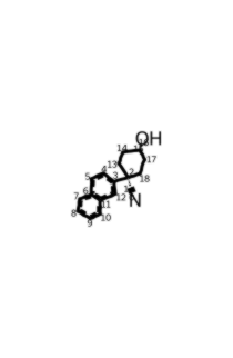 N#C[C@]1(c2ccc3ccccc3c2)CC[C@H](O)CC1